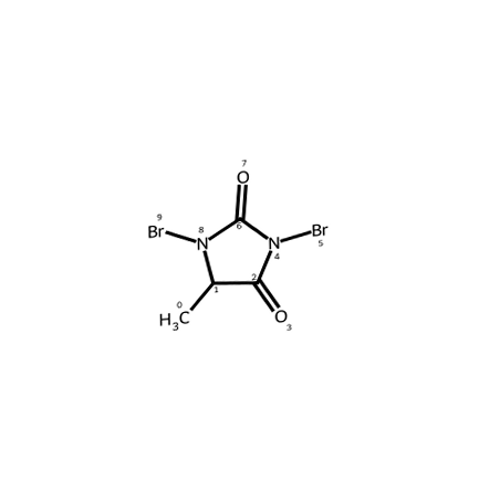 CC1C(=O)N(Br)C(=O)N1Br